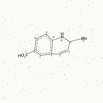 CC(C)(C)C1C=Cc2cc(C(=O)O)ccc2N1